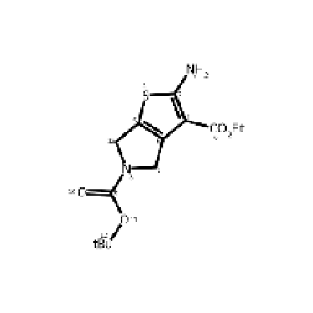 CCOC(=O)c1c(N)sc2c1CN(C(=O)OC(C)(C)C)C2